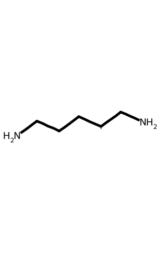 NC[CH]CCCN